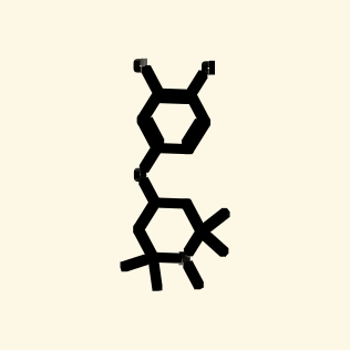 CN1C(C)(C)CC(Oc2ccc(Cl)c(Cl)c2)CC1(C)C